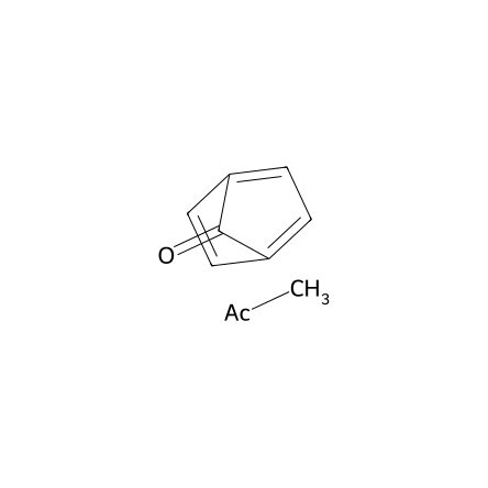 CC(C)=O.O=C1C2=CC=C1C=C2